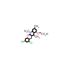 Cc1cc(OCC(=O)O)c2c(C)c(Cc3ccc(Cl)cc3Cl)c(=O)n(C)c2c1